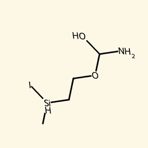 C[SiH](I)CCOC(N)O